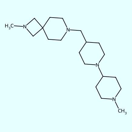 CN1CCC(N2CCC(CN3CCC4(CC3)CN(C)C4)CC2)CC1